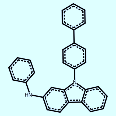 c1ccc(Nc2ccc3c4ccccc4n(-c4ccc(-c5ccccc5)cc4)c3c2)cc1